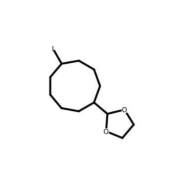 IC1CCCCC(C2OCCO2)CCC1